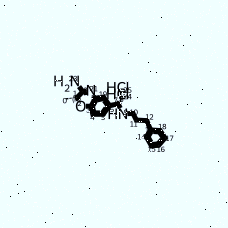 C[C@H]1Oc2ccc(C(F)NCCCc3ccccc3)cc2N=C1N.Cl.Cl